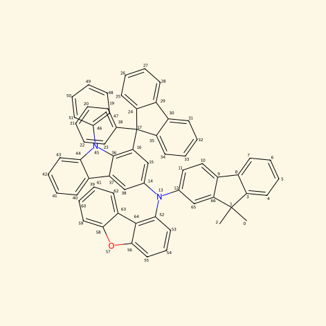 CC1(C)c2ccccc2-c2ccc(N(c3cc(C4(c5ccccc5)c5ccccc5-c5ccccc54)c4c(c3)c3ccccc3n4-c3ccccc3)c3cccc4oc5ccccc5c34)cc21